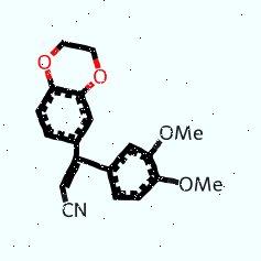 COc1ccc(/C(=C\C#N)c2ccc3c(c2)OCCO3)cc1OC